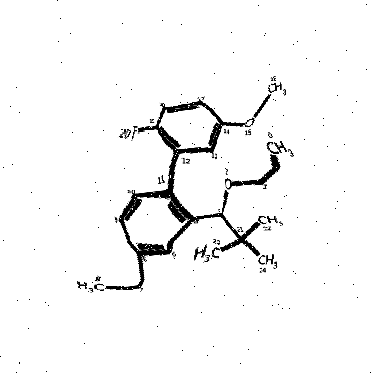 CCO[C@H](c1cc(CC)ccc1-c1cc(OC)ccc1F)C(C)(C)C